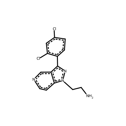 NCCn1nc(-c2ccc(Cl)cc2Cl)c2cnccc21